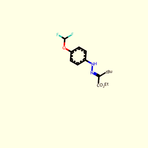 CCOC(=O)C(=NNc1ccc(OC(F)F)cc1)C(C)(C)C